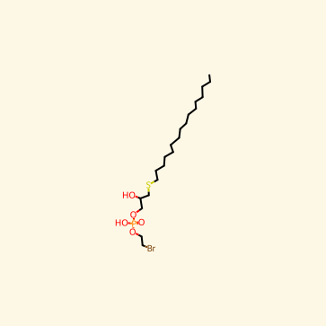 CCCCCCCCCCCCCCCCSCC(O)COP(=O)(O)OCCBr